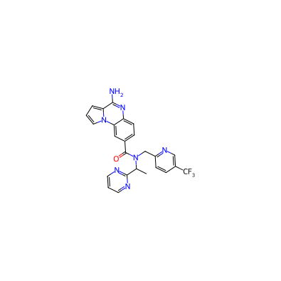 CC(c1ncccn1)N(Cc1ccc(C(F)(F)F)cn1)C(=O)c1ccc2nc(N)c3cccn3c2c1